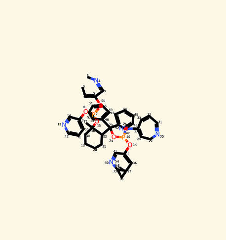 C/C=C(\C=N/C)OP(Oc1cccnc1)OC1(C)CCCCC1C(OP(NC1=CCN=CC=C1)OC1=C[C@@H]2CC2N=C1)(c1ccccc1)c1ccccc1